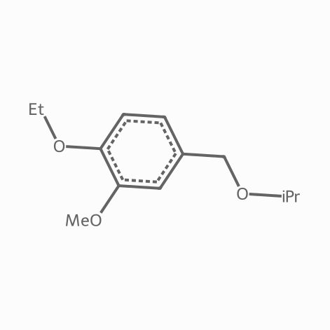 CCOc1ccc(COC(C)C)cc1OC